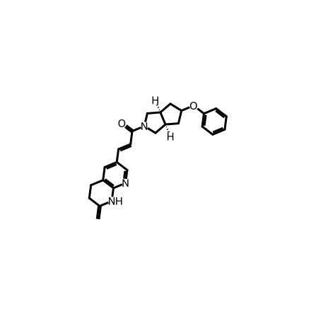 C=C1CCc2cc(/C=C/C(=O)N3C[C@H]4CC(Oc5ccccc5)C[C@H]4C3)cnc2N1